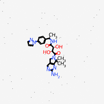 C[C@@H](NC(=O)[C@H](O)[C@@H](O)C(=O)N1Cc2cnc(N)nc2C1(C)C)c1ccc(-n2cccn2)cc1